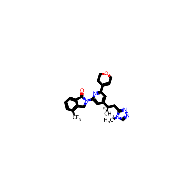 C[C@H](Cc1nncn1C)c1cc(C2=CCOCC2)nc(N2Cc3c(cccc3C(F)(F)F)C2=O)c1